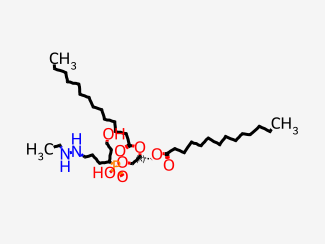 CCCCCCCCCCCCCC(=O)OC[C@H](COP(=O)(O)C(CCO)CCCNNCC)OC(=O)CCCCCCCCCCCCC